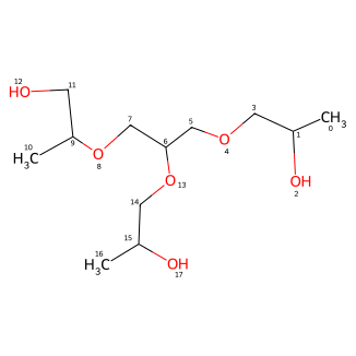 CC(O)COCC(COC(C)CO)OCC(C)O